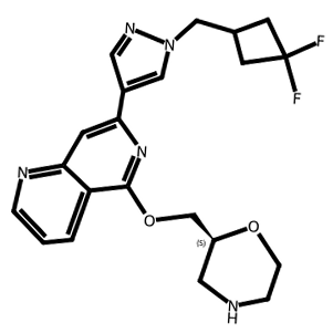 FC1(F)CC(Cn2cc(-c3cc4ncccc4c(OC[C@@H]4CNCCO4)n3)cn2)C1